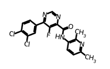 Cc1ccc(NC(=O)c2ncnc(-c3ccc(Cl)c(Cl)c3)c2F)c(C)n1